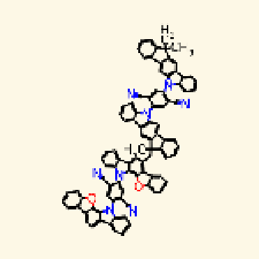 CC1(C)c2ccccc2-c2cc3c(cc21)c1ccccc1n3-c1cc(C#N)c(-n2c3ccccc3c3cc4c(cc32)-c2ccccc2C4(C)Cc2cc3c4ccccc4n(-c4cc(C#N)c(-n5c6ccccc6c6ccc7c8ccccc8oc7c65)cc4C#N)c3c3oc4ccccc4c23)cc1C#N